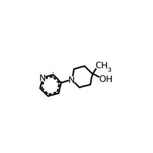 CC1(O)CCN(c2[c]nccc2)CC1